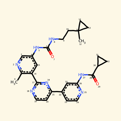 Cc1ncc(NC(=O)NCCC2(C)CC2)cc1-c1nccc(-c2ccnc(NC(=O)C3CC3)c2)n1